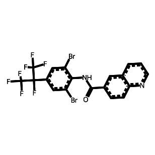 O=C(Nc1c(Br)cc(C(F)(C(F)(F)F)C(F)(F)F)cc1Br)c1ccc2ncccc2c1